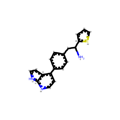 NC(Cc1ccc(-c2ccnc3[nH]ccc23)cc1)c1cccs1